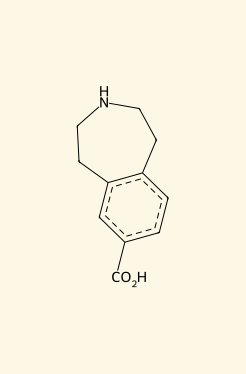 O=C(O)c1ccc2c(c1)CCNCC2